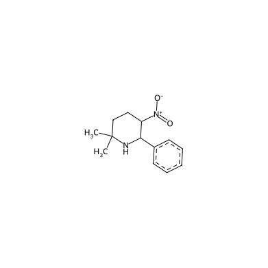 CC1(C)CCC([N+](=O)[O-])C(c2ccccc2)N1